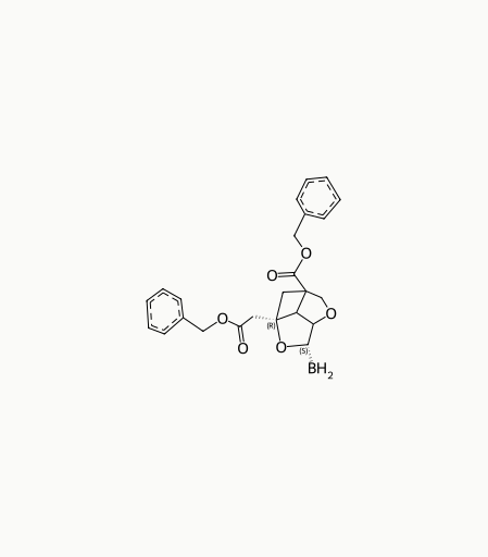 B[C@@H]1O[C@@]2(CC(=O)OCc3ccccc3)CC3(C(=O)OCc4ccccc4)COC1C32